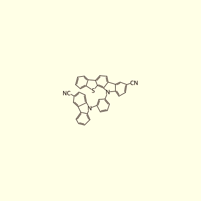 N#Cc1ccc2c(c1)c1ccccc1n2-c1cccc(-n2c3ccc(C#N)cc3c3ccc4c5ccccc5sc4c32)c1